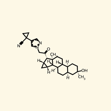 C[C@@]1(O)CC[C@H]2[C@H](CC[C@@H]3[C@@H]2CC[C@@]2(C)[C@H]3[C@@H]3C[C@@H]3[C@@H]2C(=O)Cn2cc(C3(C#N)CC3)cn2)C1